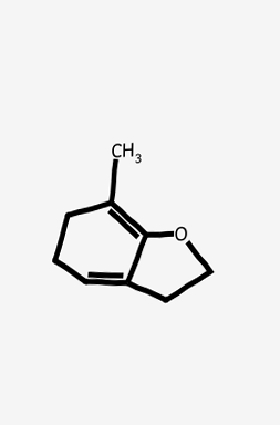 CC1=C2OCCC2=CCC1